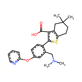 CN(C)Cc1cc(Oc2ccccn2)ccc1-c1sc2c(c1C(=O)O)CC(C)(C)CC2